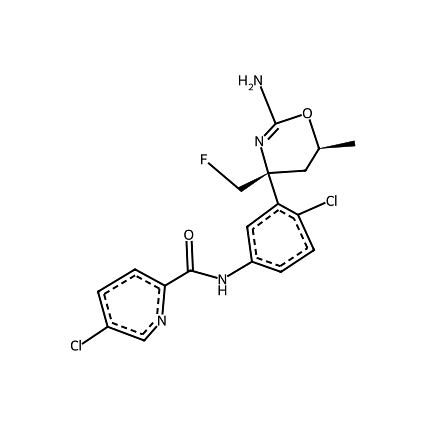 C[C@H]1C[C@](CF)(c2cc(NC(=O)c3ccc(Cl)cn3)ccc2Cl)N=C(N)O1